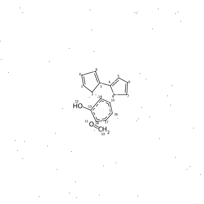 C1=CCC(C2=CC=CC2)=C1.C=O.Oc1ccccc1